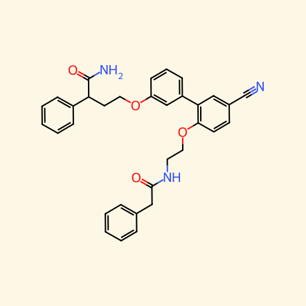 N#Cc1ccc(OCCNC(=O)Cc2ccccc2)c(-c2cccc(OCCC(C(N)=O)c3ccccc3)c2)c1